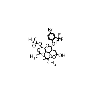 CC(=O)OC[C@H]1O[C@H](Oc2ccc(Br)cc2C(F)(F)F)[C@@H](CC(=O)O)[C@H](OC(C)=O)[C@H]1OC(C)=O